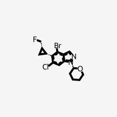 FC[C@H]1C[C@H]1c1c(Cl)cc2c(cnn2[C@H]2CCCCO2)c1Br